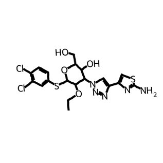 CCOC1C(Sc2ccc(Cl)c(Cl)c2)OC(CO)C(O)C1n1cc(-c2csc(N)n2)nn1